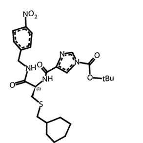 CC(C)(C)OC(=O)n1cnc(C(=O)N[C@@H](CSCC2CCCCC2)C(=O)NCc2ccc([N+](=O)[O-])cc2)c1